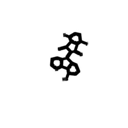 O=C1C(=C2c3cccnc3-c3c(O)cccc32)C(=O)c2c(F)ccc(F)c21